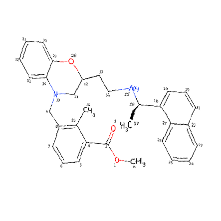 COC(=O)c1cccc(CN2CC(CCN[C@H](C)c3cccc4ccccc34)Oc3ccccc32)c1C